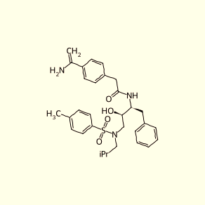 C=C(N)c1ccc(CC(=O)N[C@@H](Cc2ccccc2)[C@H](O)CN(CC(C)C)S(=O)(=O)c2ccc(C)cc2)cc1